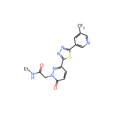 CCNC(=O)Cn1nc(-c2nnc(-c3cncc(C(F)(F)F)c3)s2)ccc1=O